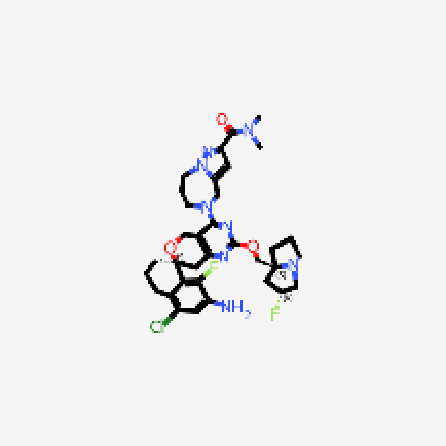 CN(C)C(=O)c1cc2n(n1)CCCN(c1nc(OC[C@@]34CCCN3C[C@H](F)C4)nc3c1CO[C@@]1(CCCc4c(Cl)cc(N)c(F)c41)C3)C2